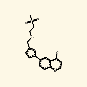 CS(=O)(=O)CCNCc1ccc(-c2ccc3nccc(Cl)c3c2)o1